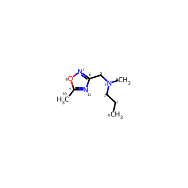 CCCN(C)Cc1noc(C)n1